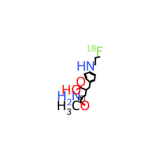 CC(=O)[C@@H](N)CC(Cc1ccc(NCCC[18F])cc1)C(=O)O